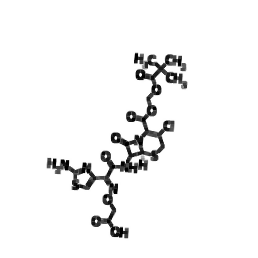 CC(C)(C)C(=O)OCOC(=O)C1=C(Cl)CS[C@H]2C(NC(=O)C(=NOCC(=O)O)c3csc(N)n3)C(=O)N12